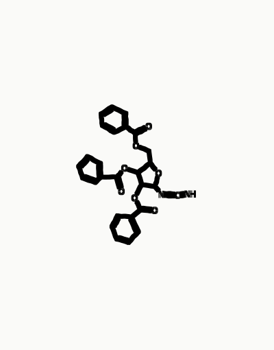 N=C=NC1OC(COC(=O)c2ccccc2)C(OC(=O)c2ccccc2)C1OC(=O)c1ccccc1